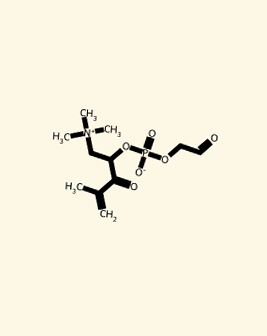 C=C(C)C(=O)C(C[N+](C)(C)C)OP(=O)([O-])OCC=O